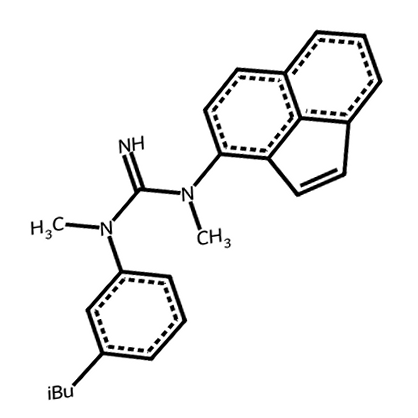 CCC(C)c1cccc(N(C)C(=N)N(C)c2ccc3cccc4c3c2C=C4)c1